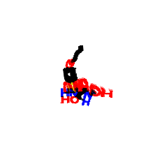 CC=CCOc1ccc(S(=O)(=O)NC(C(=O)NO)[C@H](C)O)cc1